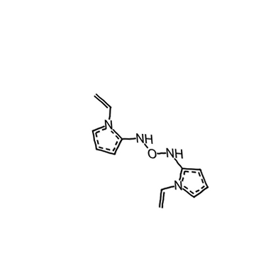 C=Cn1cccc1NONc1cccn1C=C